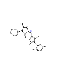 Cc1ccc(C)c(-n2c(C)cc(/C=C3/SC(=O)N(c4ccccc4)C3=O)c2C)c1